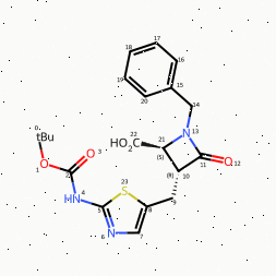 CC(C)(C)OC(=O)Nc1ncc(C[C@H]2C(=O)N(Cc3ccccc3)[C@@H]2C(=O)O)s1